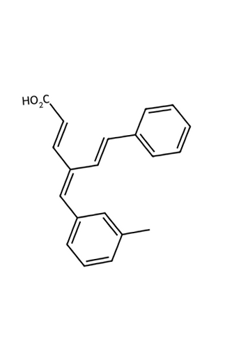 Cc1cccc(C=C(C=CC(=O)O)C=Cc2ccccc2)c1